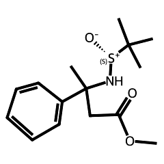 COC(=O)CC(C)(N[S@+]([O-])C(C)(C)C)c1ccccc1